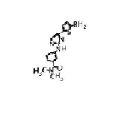 Bc1ccc(-c2ccnc(Nc3cccc(C(=O)N(C)C)c3)n2)s1